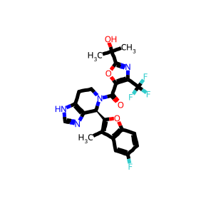 Cc1c([C@H]2c3nc[nH]c3CCN2C(=O)c2oc(C(C)(C)O)nc2C(F)(F)F)oc2ccc(F)cc12